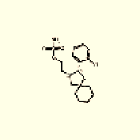 NS(=O)(=O)OCC[C@@H]1CC2(CCCCC2)O[C@H]1c1ccccc1Cl